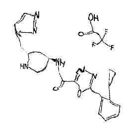 O=C(N[C@H]1CN[C@H](Cn2ccnn2)C1)c1nnc(-c2ccccc2C2CC2)o1.O=C(O)C(F)(F)F